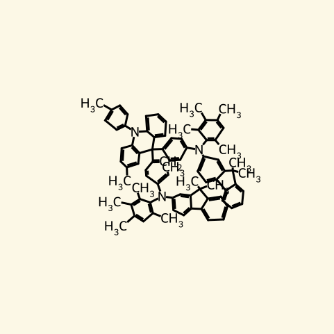 C=C(/C=C\C(=C/C)N(c1ccc2c(c1)C(C)(C)c1ccccc1-2)c1c(C)cc(C)c(C)c1C)C1(c2ccc(N(c3ccc4c(c3)C(C)(C)c3ccccc3-4)c3c(C)cc(C)c(C)c3C)cc2)c2ccccc2N(c2ccc(C)cc2)c2ccc(C)cc21